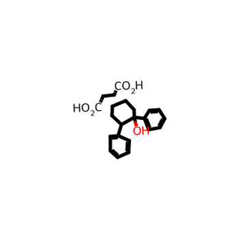 O=C(O)CCC(=O)O.OC1(c2ccccc2)CCCCC1c1ccccc1